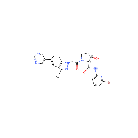 CC(=O)c1nn(CC(=O)N2CC[C@@H](O)[C@H]2C(=O)Nc2cccc(Br)n2)c2ccc(-c3cnc(C)nc3)cc12